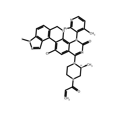 C=CC(=O)N1CCN(c2nc(=O)n(-c3c(C)ccnc3C(C)C)c3c4c(c(Cl)cc23)-c2c(ccc3c2cnn3I)CO4)[C@@H](C)C1